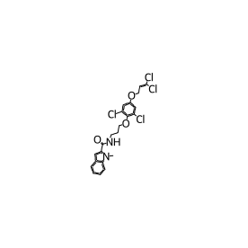 Cn1c(C(=O)NCCCOc2c(Cl)cc(OCC=C(Cl)Cl)cc2Cl)cc2ccccc21